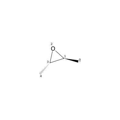 [CH2][C@@H]1O[C@H]1C